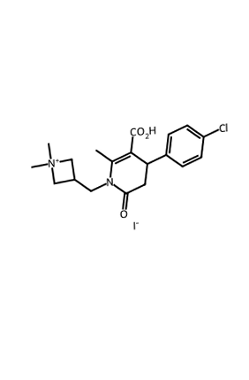 CC1=C(C(=O)O)C(c2ccc(Cl)cc2)CC(=O)N1CC1C[N+](C)(C)C1.[I-]